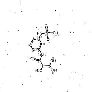 CC(C(=O)Nc1cccc(NS(C)(=O)=O)c1)C(O)O